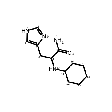 NC(=O)C(Cc1c[nH]cn1)NC1CCCCC1